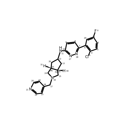 Fc1ccc(Cl)c(-c2ccc(NC3C[C@@H]4CN(Cc5ccncc5)C[C@@H]4C3)nn2)c1